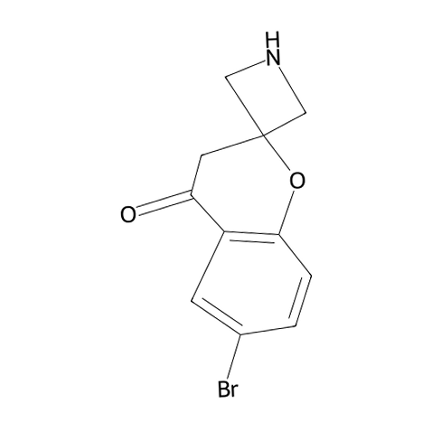 O=C1CC2(CNC2)Oc2ccc(Br)cc21